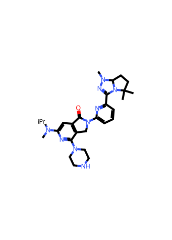 CC(C)N(C)c1cc2c(c(N3CCNCC3)n1)CN(c1cccc(C3=NN(C)C4CCC(C)(C)N34)n1)C2=O